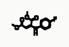 COC(=O)C=C(Nc1ccc(F)cc1)C(=O)OC